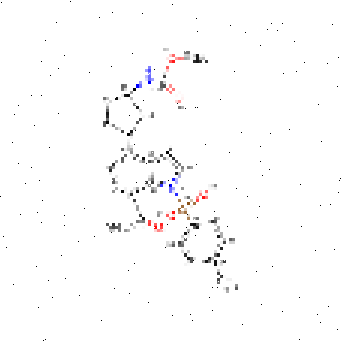 COC(=O)c1ccc([C@@H]2CC[C@@H](NC(=O)OC(C)(C)C)C2)c2ccn(S(=O)(=O)c3ccc(C)cc3)c12